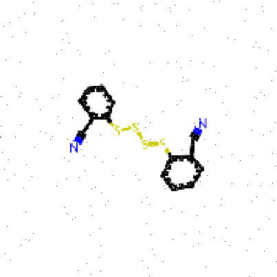 N#Cc1ccccc1SSSSc1ccccc1C#N